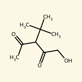 CC(=O)C(C(=O)CO)C(C)(C)C